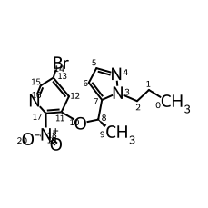 CCCn1nccc1[C@@H](C)Oc1cc(Br)cnc1[N+](=O)[O-]